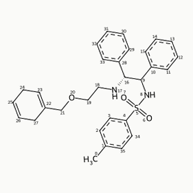 Cc1ccc(S(=O)(=O)NC(c2ccccc2)[C@H](NCCOCC2=CCC=CC2)c2ccccc2)cc1